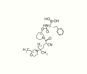 C[C@H]1CN(C(C)(C)CCC(C#N)C(=O)N2CCCC[C@@H](OC(=O)N[C@@H](CCc3ccccc3)B(O)O)C2)CCO1